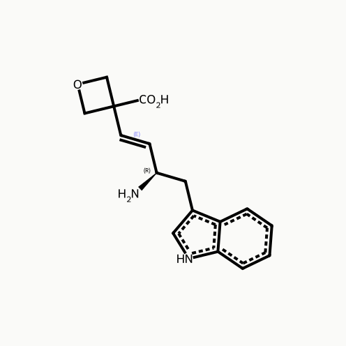 N[C@@H](/C=C/C1(C(=O)O)COC1)Cc1c[nH]c2ccccc12